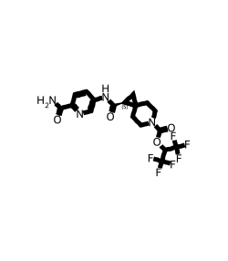 NC(=O)c1ccc(NC(=O)[C@H]2CC23CCN(C(=O)OC(C(F)(F)F)C(F)(F)F)CC3)cn1